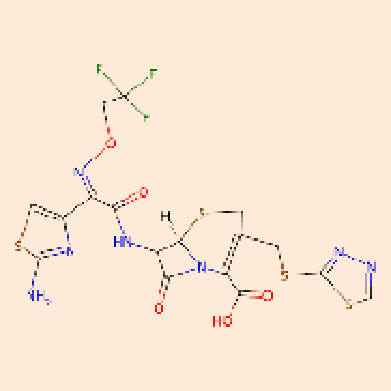 Nc1nc(/C(=N/OCC(F)(F)F)C(=O)NC2C(=O)N3C(C(=O)O)=C(CSc4nncs4)CS[C@H]23)cs1